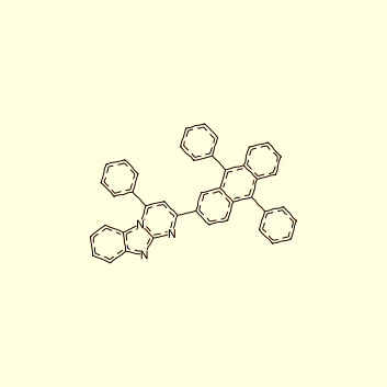 c1ccc(-c2c3ccccc3c(-c3ccccc3)c3cc(-c4cc(-c5ccccc5)n5c(n4)nc4ccccc45)ccc23)cc1